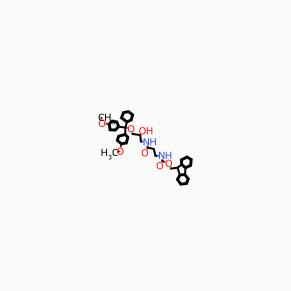 COc1ccc(C(OC[C@@H](O)CNC(=O)CCNC(=O)OCC2c3ccccc3-c3ccccc32)(c2ccccc2)c2ccc(OC)cc2)cc1